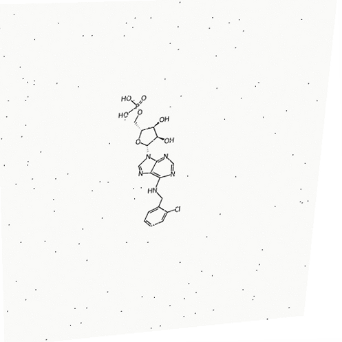 O=P(O)(O)OC[C@H]1O[C@@H](n2cnc3c(NCc4ccccc4Cl)ncnc32)[C@H](O)[C@@H]1O